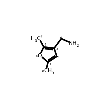 Cc1cc(CN)c(C)o1